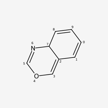 C1=CC2=COC=NC2C=C1